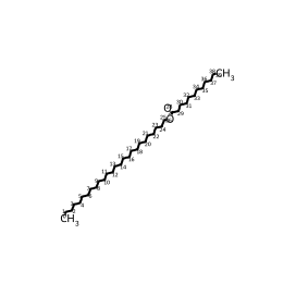 CCCCCCCCCCCCCCCCCCCCCCCCCCOC(=O)CCCCCCCCCCC